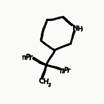 CCCC(C)(CCC)C1CCCNC1